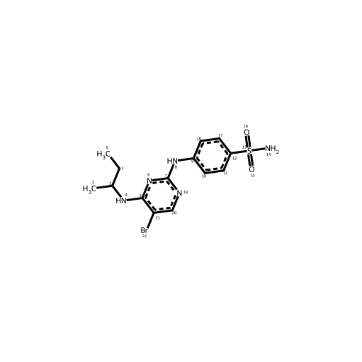 CCC(C)Nc1nc(Nc2ccc(S(N)(=O)=O)cc2)ncc1Br